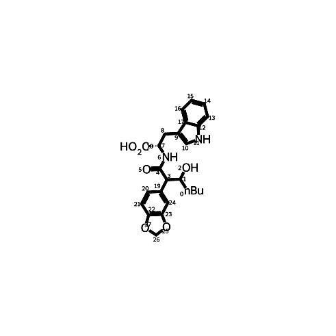 CCCCC(O)C(C(=O)N[C@@H](Cc1c[nH]c2ccccc12)C(=O)O)c1ccc2c(c1)OCO2